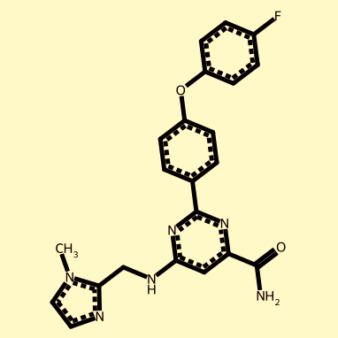 Cn1ccnc1CNc1cc(C(N)=O)nc(-c2ccc(Oc3ccc(F)cc3)cc2)n1